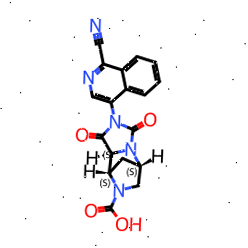 N#Cc1ncc(N2C(=O)[C@@H]3[C@@H]4C[C@@H](CN4C(=O)O)N3C2=O)c2ccccc12